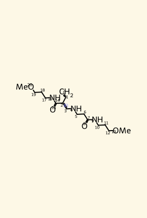 C=C/C(=C\NCCC(=O)NCCCOC)C(=O)NCCCOC